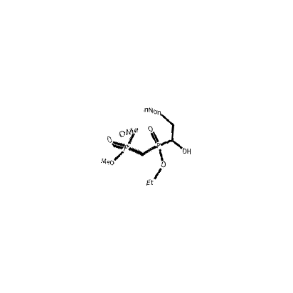 CCCCCCCCCCC(O)P(=O)(CP(=O)(OC)OC)OCC